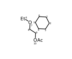 C1CCCCC1.CCOCCOC(C)=O